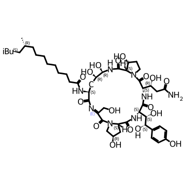 CC[C@H](C)C[C@H](C)CCCCCCCCC(=O)N[C@H]1C[C@@H](O)[C@@H](O)NC(=O)[C@@H]2[C@@H](O)CCN2C(=O)[C@H]([C@H](O)CC(N)=O)NC(=O)[C@H]([C@H](O)[C@@H](O)c2ccc(O)cc2)NC(=O)[C@@H]2C[C@@H](O)CN2C(=O)/C(CO)=N/C1=O